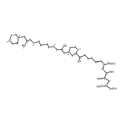 CCCCCCCCN(CCCCCCCC)CC(O)C(O)CN(CCCCCCCC)CCCCCC(CC)C1CN(CC(O)COCCCCOCC(O)CN2CCOCC2)CCO1